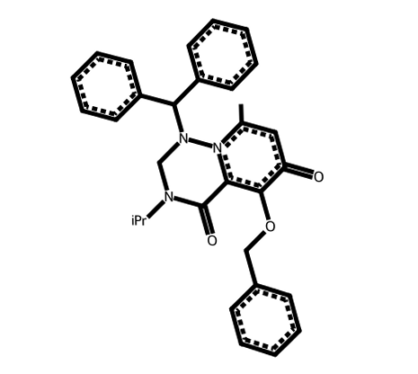 Cc1cc(=O)c(OCc2ccccc2)c2n1N(C(c1ccccc1)c1ccccc1)CN(C(C)C)C2=O